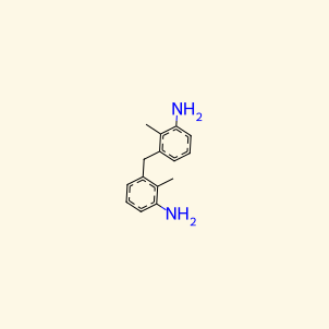 Cc1c(N)cccc1Cc1cccc(N)c1C